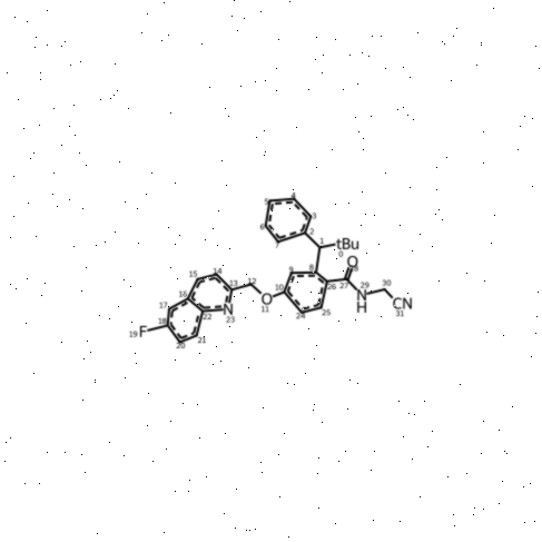 CC(C)(C)C(c1ccccc1)c1cc(OCc2ccc3cc(F)ccc3n2)ccc1C(=O)NCC#N